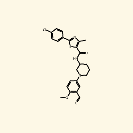 COc1ccc(N2CCCC(NC(=O)c3sc(-c4ccc(Cl)cc4)nc3C)C2)cc1C=O